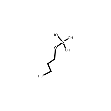 OCCCO[Si](O)(O)O